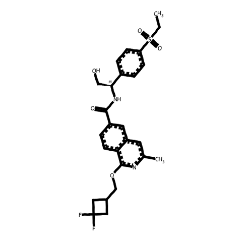 CCS(=O)(=O)c1ccc([C@H](CO)NC(=O)c2ccc3c(OCC4CC(F)(F)C4)nc(C)cc3c2)cc1